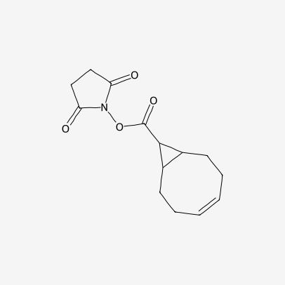 O=C(ON1C(=O)CCC1=O)C1C2CCC=CCCC21